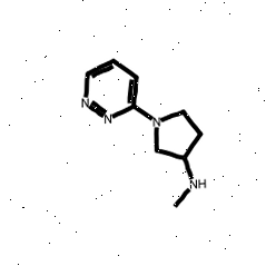 CNC1CCN(c2cccnn2)C1